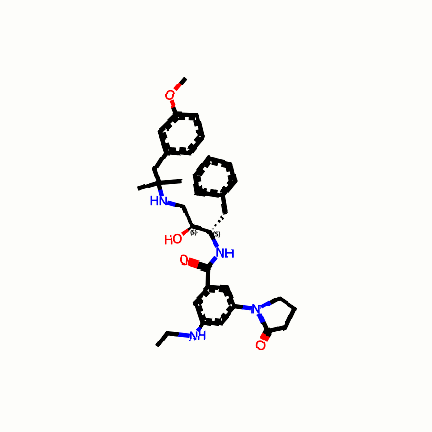 CCNc1cc(C(=O)N[C@@H](Cc2ccccc2)[C@@H](O)CNC(C)(C)Cc2cccc(OC)c2)cc(N2CCCC2=O)c1